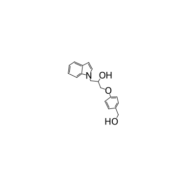 OCc1ccc(OCC(O)Cn2ccc3ccccc32)cc1